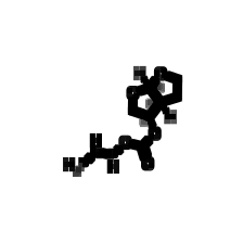 O=C(OPNP)O[C@H]1CO[C@H]2OCC[C@H]21